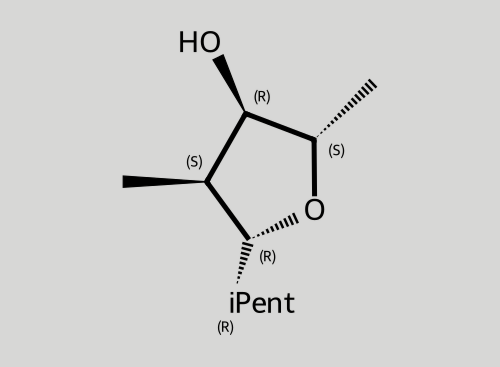 CCC[C@@H](C)[C@H]1O[C@@H](C)[C@H](O)[C@@H]1C